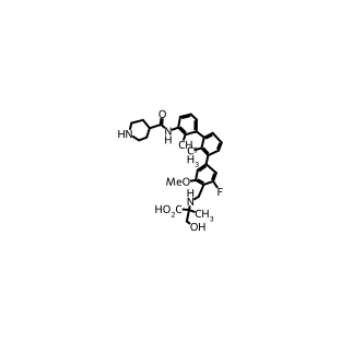 COc1cc(-c2cccc(-c3cccc(NC(=O)C4CCNCC4)c3C)c2C)cc(F)c1CNC(C)(CO)C(=O)O